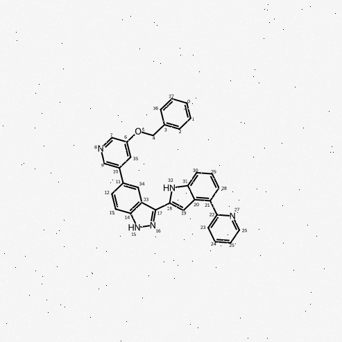 c1ccc(COc2cncc(-c3ccc4[nH]nc(-c5cc6c(-c7ccccn7)cccc6[nH]5)c4c3)c2)cc1